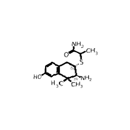 CC(S[C@H]1Cc2ccc(O)cc2C(C)(C)[C@@H]1N)C(N)=O